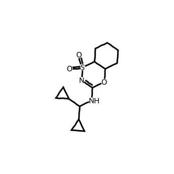 O=S1(=O)N=C(NC(C2CC2)C2CC2)OC2CCCCC21